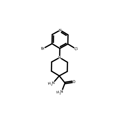 NC(=O)C1(N)CCN(c2c(Cl)cncc2Br)CC1